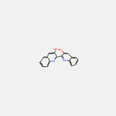 Oc1cc2ccccc2nc1-c1nc2ccccc2cc1O